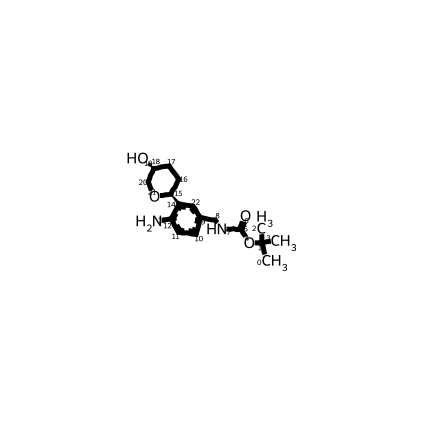 CC(C)(C)OC(=O)NCc1ccc(N)c([C@@H]2CC[C@H](O)CO2)c1